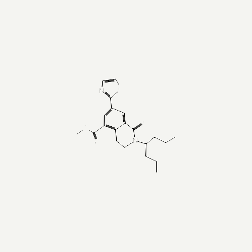 CCCC(CCC)N1CCc2c(C(=O)OC)cc(-c3ncco3)cc2C1=O